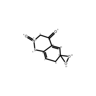 O=C1C[N+](=O)SC2=CCC3(C=C12)OO3